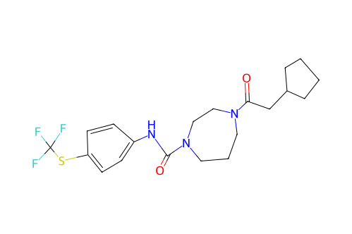 O=C(CC1CCCC1)N1CCCN(C(=O)Nc2ccc(SC(F)(F)F)cc2)CC1